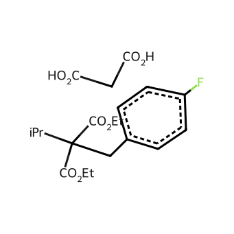 CCOC(=O)C(Cc1ccc(F)cc1)(C(=O)OCC)C(C)C.O=C(O)CC(=O)O